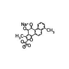 Cc1c(S(=O)(=O)[O-])oc2c1C(=O)C(=O)c1c-2ccc2c(C)cccc12.[Na+]